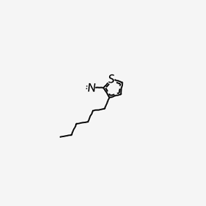 CCCCCCc1ccsc1[N]